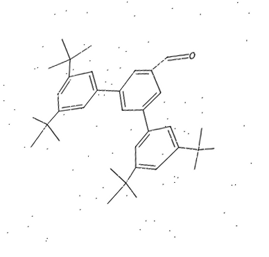 CC(C)(C)c1cc(-c2cc(C=O)cc(-c3cc(C(C)(C)C)cc(C(C)(C)C)c3)c2)cc(C(C)(C)C)c1